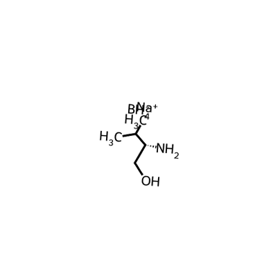 CC(C)[C@H](N)CO.[BH4-].[Na+]